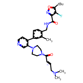 Cc1cc(-c2ccncc2N2CCN(C(=O)/C=C/CN(C)C)CC2)ccc1CNC(=O)c1noc(C(C)(C)C)c1F